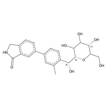 Cc1cc(-c2ccc3c(c2)C(=O)NC3)ccc1[C@@H](O)[C@H]1OC(CO)[C@@H](O)C(O)C1O